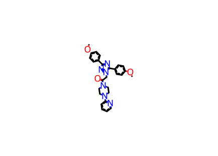 COc1ccc(-c2nc(-c3ccc(OC)cc3)n(CC(=O)N3CCN(c4ccccn4)CC3)n2)cc1